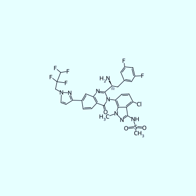 Cn1nc(NS(C)(=O)=O)c2c(Cl)ccc(-n3c([C@@H](N)Cc4cc(F)cc(F)c4)nc4cc(-c5ccn(CC(F)(F)C(F)F)n5)ccc4c3=O)c21